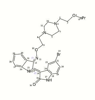 CCCOCCN1CCN(CCO/N=C2/C(=C3/C(=O)Nc4ccc(Br)cc43)Nc3ccccc32)CC1